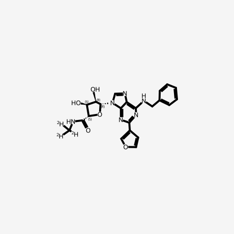 [2H]C([2H])([2H])NC(=O)[C@H]1O[C@@H](n2cnc3c(NCc4ccccc4)nc(-c4ccoc4)nc32)[C@H](O)[C@@H]1O